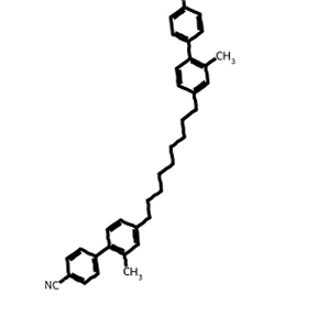 Cc1cc(CCCCCCCCCc2ccc(-c3ccc(C#N)cc3)c(C)c2)ccc1-c1ccc(C#N)cc1